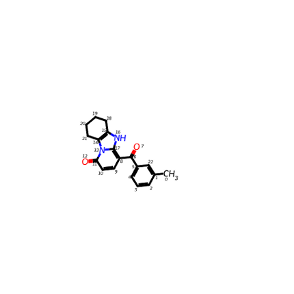 Cc1cccc(C(=O)c2ccc(=O)n3c4c([nH]c23)CCCC4)c1